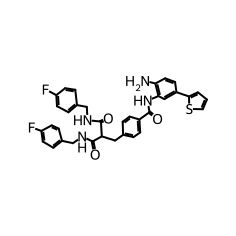 Nc1ccc(-c2cccs2)cc1NC(=O)c1ccc(CC(C(=O)NCc2ccc(F)cc2)C(=O)NCc2ccc(F)cc2)cc1